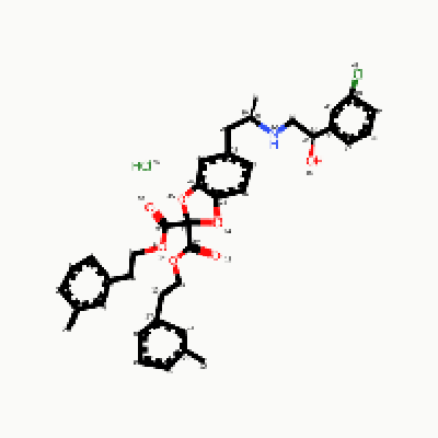 Cc1cccc(CCOC(=O)C2(C(=O)OCCc3cccc(C)c3)Oc3ccc(C[C@@H](C)NC[C@H](O)c4cccc(Cl)c4)cc3O2)c1.Cl